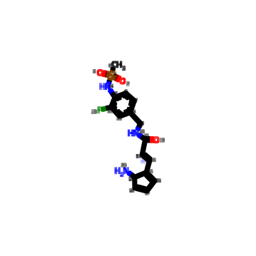 CS(=O)(=O)Nc1ccc(CNC(=O)/C=C/C2=CC=CC2N)cc1F